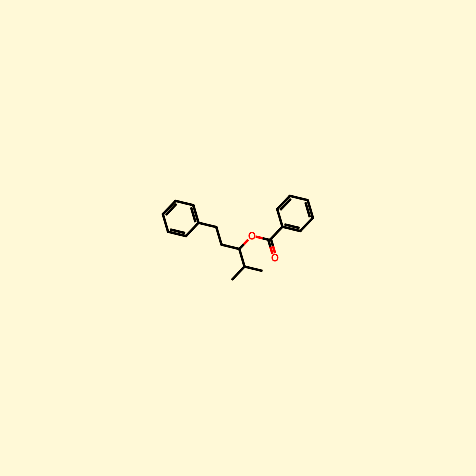 CC(C)C(CCc1ccccc1)OC(=O)c1ccccc1